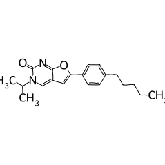 CCCCCc1ccc(-c2cc3cn(C(C)C)c(=O)nc3o2)cc1